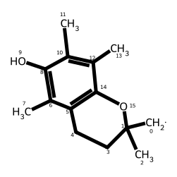 [CH2]C1(C)CCc2c(C)c(O)c(C)c(C)c2O1